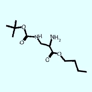 CCCCOC(=O)C(N)CNC(=O)OC(C)(C)C